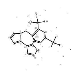 CC(C)(F)c1ccc(Cn2cccc2-c2nn[nH]c2C#N)c(C(F)(F)P)c1